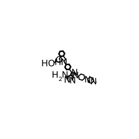 CN1CCN([C@H]2CC[C@@H](n3nc(-c4ccc(NCc5ccccc5OCCO)cc4)c4c(N)ncnc43)CC2)CC1